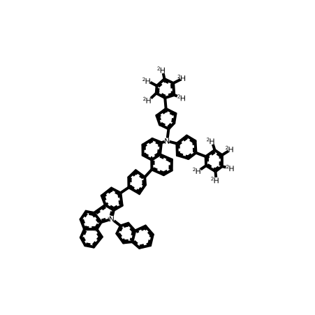 [2H]c1c([2H])c([2H])c(-c2ccc(N(c3ccc(-c4c([2H])c([2H])c([2H])c([2H])c4[2H])cc3)c3cccc4c(-c5ccc(-c6ccc7c8ccc9ccccc9c8n(-c8ccc9ccccc9c8)c7c6)cc5)cccc34)cc2)c([2H])c1[2H]